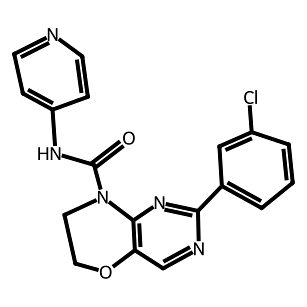 O=C(Nc1ccncc1)N1CCOc2cnc(-c3cccc(Cl)c3)nc21